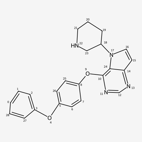 c1ccc(Oc2ccc(Oc3ncnc4ccn(C5CCCNC5)c34)cc2)cc1